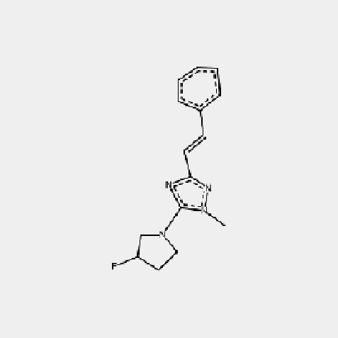 Cn1nc(/C=C/c2ccccc2)nc1N1CCC(F)C1